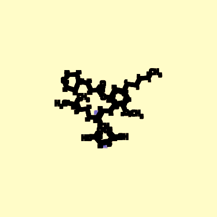 CCCCCc1cc(OC)c(C/C=C(\C)CCC=C(C)C)c(OC(=O)CCN2CCOCC2)c1.O=C(O)/C=C\C(=O)O